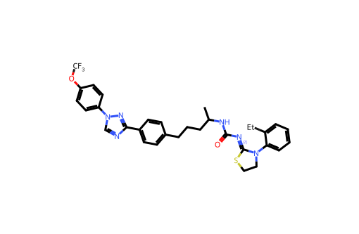 CCc1ccccc1N1CCS/C1=N\C(=O)NC(C)CCCc1ccc(-c2ncn(-c3ccc(OC(F)(F)F)cc3)n2)cc1